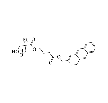 CCC(CO)(CO)C(=O)OCCCC(=O)OCc1ccc2cc3ccccc3cc2c1